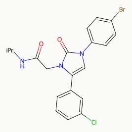 CC(C)NC(=O)Cn1c(-c2cccc(Cl)c2)cn(-c2ccc(Br)cc2)c1=O